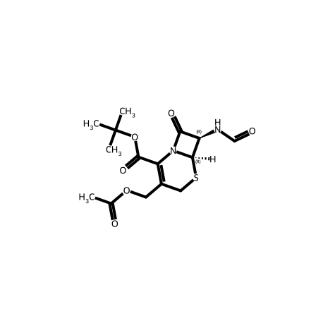 CC(=O)OCC1=C(C(=O)OC(C)(C)C)N2C(=O)[C@@H](NC=O)[C@H]2SC1